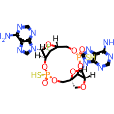 Nc1ncnc2c1ncn2[C@@H]1O[C@@H]2CO[P@](=O)(S)O[C@H]3[C@H]4OC[C@]3(CO[P@@](=O)(S)O[C@@H]1[C@H]2F)O[C@H]4n1cnc2c(N)ncnc21